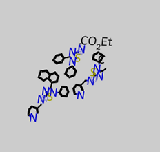 CCOC(=O)C/N=c1\nc(-c2ccccc2)n(-c2ccccc2)s1.Cc1n/c(=N/Cc2cccnc2)sn1-c1ccccc1.c1ccc(-n2s/c(=N\Cc3cccnc3)nc2-c2cccc3ccccc23)cc1